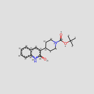 CC(C)(C)OC(=O)N1CCC(c2cc3ccccc3[nH]c2=O)CC1